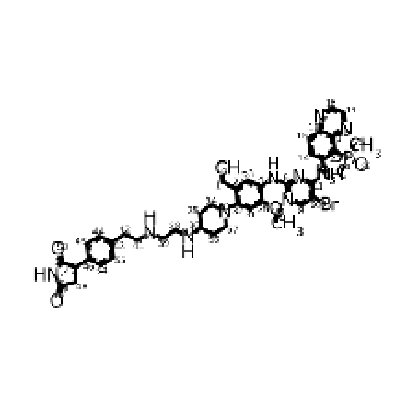 CCc1cc(Nc2ncc(Br)c(Nc3ccc4nccnc4c3P(C)(C)=O)n2)c(OC)cc1N1CCC(NCCNCCc2ccc(C3CC(=O)NC3=O)cc2)CC1